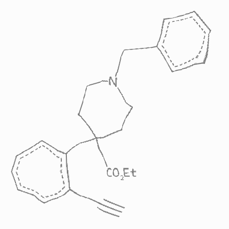 C#Cc1ccccc1C1(C(=O)OCC)CCN(Cc2ccccc2)CC1